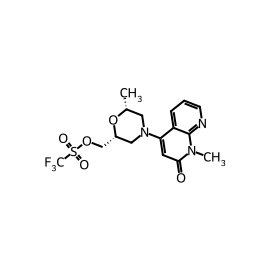 C[C@@H]1CN(c2cc(=O)n(C)c3ncccc23)C[C@H](COS(=O)(=O)C(F)(F)F)O1